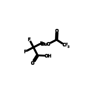 CC(C)COC(=O)C(F)(F)F.O=C(O)C(F)(F)F